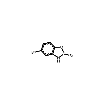 Brc1ccc2c(c1)NN(Br)O2